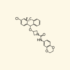 O=C(Nc1ccc2c(c1)OCCO2)N1CC(OC(c2ccc(Cl)cc2)c2ccccc2C(F)(F)F)C1